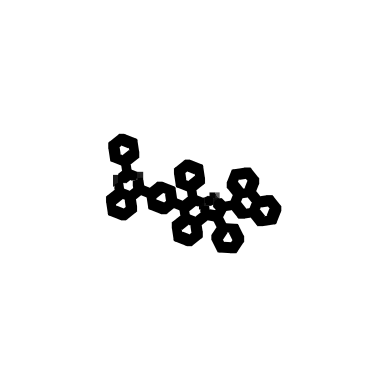 c1ccc(-c2nc(-c3ccc(-c4c(-c5ccccc5)n5nc(-c6cc7ccccc7c7ccccc67)c(-c6ccccc6)c5c5ccccc45)cc3)c3ccccc3n2)cc1